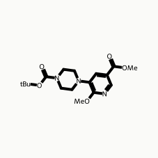 COC(=O)c1cnc(OC)c(N2CCN(C(=O)OC(C)(C)C)CC2)c1